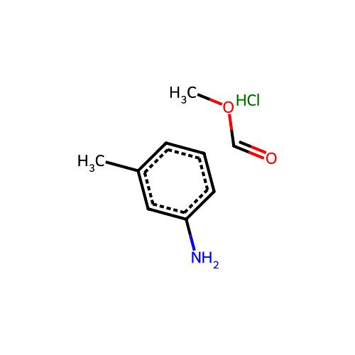 COC=O.Cc1cccc(N)c1.Cl